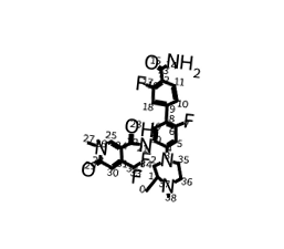 CC1CN(c2cc(F)c(-c3ccc(C(N)=O)c(F)c3)cc2NC(=O)c2cn(C)c(=O)cc2C(F)F)CCN1C